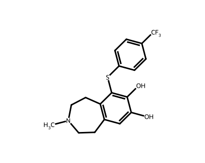 CN1CCc2cc(O)c(O)c(Sc3ccc(C(F)(F)F)cc3)c2CC1